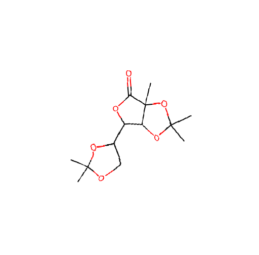 CC1(C)OCC(C2OC(=O)C3(C)OC(C)(C)OC23)O1